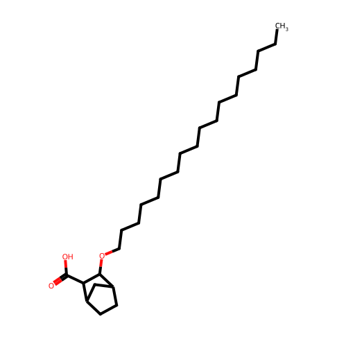 CCCCCCCCCCCCCCCCCCOC1C2CCC(C2)C1C(=O)O